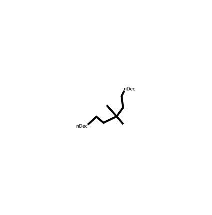 CCCCCCCCCCCCC(C)(C)CCCCCCCCCCCC